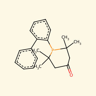 CC1(C)CC(=O)CC(C)(C)P1c1ccccc1-c1ccccc1